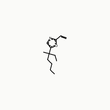 C=Cc1ncc(C(C)(CC)CCCC)o1